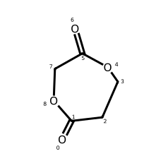 O=C1CCOC(=O)CO1